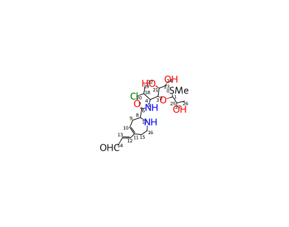 CSC(OC(C(NC(=O)C1CC=C(/C=C/C=O)CCN1)C(C)Cl)[C@@H](O)CO)C(C)O